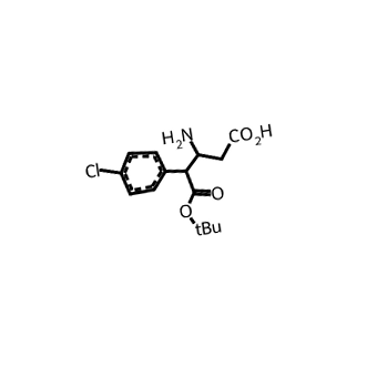 CC(C)(C)OC(=O)C(c1ccc(Cl)cc1)C(N)CC(=O)O